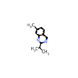 Cc1ccc2cnc(C(C)C)nc2c1